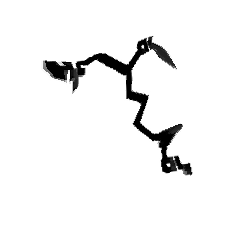 CC=C(C)CCCSC